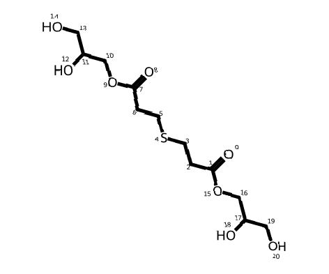 O=C(CCSCCC(=O)OCC(O)CO)OCC(O)CO